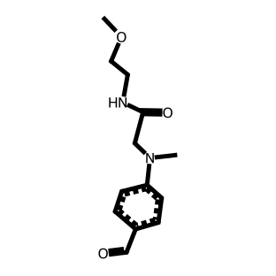 COCCNC(=O)CN(C)c1ccc(C=O)cc1